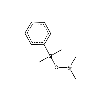 C[Si](C)O[Si](C)(C)c1ccccc1